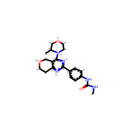 CNC(=O)Nc1ccc(-c2nc3c(c(N4CCOCC4C)n2)COCC3)cc1